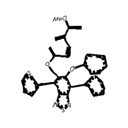 C=C(/C=C\C(=C)C(=C)OC)Oc1c(Oc2ccccc2)c(-c2cccs2)c2nsnc2c1-c1cccs1